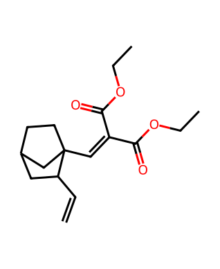 C=CC1CC2CCC1(C=C(C(=O)OCC)C(=O)OCC)C2